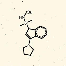 CC(C)(C)N[Si](C)(C)C1C=C(N2CCCC2)c2ccccc21